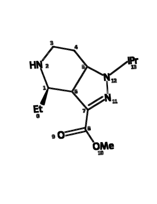 CC[C@H]1NCCC2C1C(C(=O)OC)=NN2C(C)C